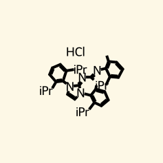 C/C(N=c1n(-c2c(C(C)C)cccc2C(C)C)ccn1-c1c(C(C)C)cccc1C(C)C)=N\c1c(C)cccc1C.Cl